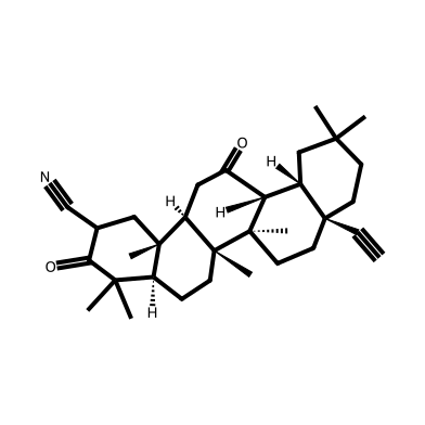 C#C[C@]12CCC(C)(C)C[C@H]1[C@H]1C(=O)C[C@@H]3[C@@]4(C)CC(C#N)C(=O)C(C)(C)[C@@H]4CC[C@@]3(C)[C@]1(C)CC2